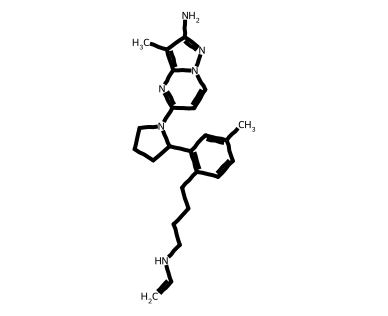 C=CNCCCCc1ccc(C)cc1C1CCCN1c1ccn2nc(N)c(C)c2n1